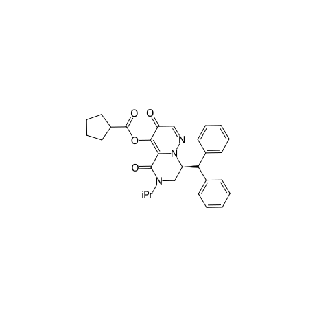 CC(C)N1C[C@H](C(c2ccccc2)c2ccccc2)n2ncc(=O)c(OC(=O)C3CCCC3)c2C1=O